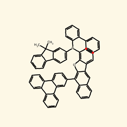 CC1(C)c2ccccc2-c2ccc(N(c3ccccc3-c3ccccc3)c3cccc4c3oc3c(-c5ccc6c7ccccc7c7ccccc7c6c5)c5ccccc5cc34)cc21